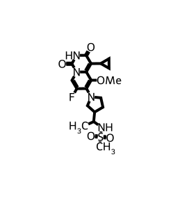 COc1c(N2CCC(C(C)NS(C)(=O)=O)C2)c(F)cn2c(=O)[nH]c(=O)c(C3CC3)c12